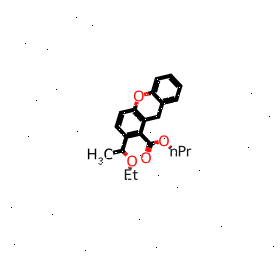 CCCOC(=O)c1c(C(C)OCC)ccc2c1Cc1ccccc1O2